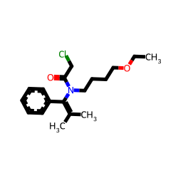 CCOCCCCN(C(=O)CCl)C(=C(C)C)c1ccccc1